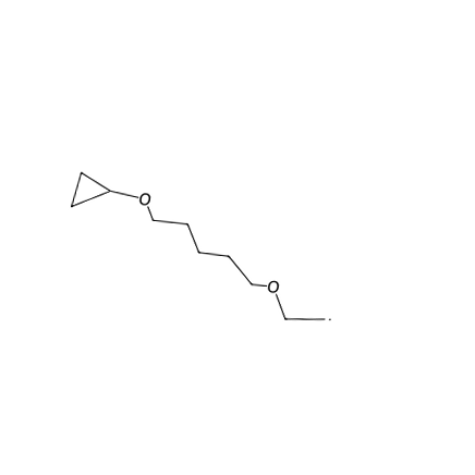 [CH2]COCCCCCOC1CC1